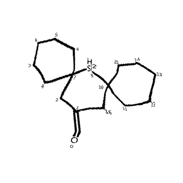 O=C1CC2(CCCCC2)[SiH2]C2(CCCCC2)C1